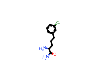 NC(=O)C(N)CCCc1cccc(Cl)c1